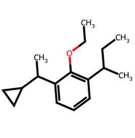 CCOc1c(C(C)CC)cccc1C(C)C1CC1